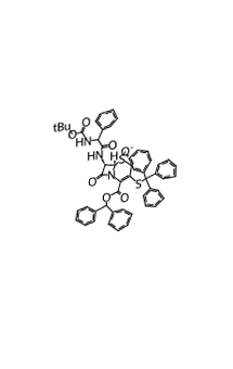 CC(C)(C)OC(=O)NC(C(=O)N[C@@H]1C(=O)N2C(C(=O)OC(c3ccccc3)c3ccccc3)=C(SC(c3ccccc3)(c3ccccc3)c3ccccc3)C[S+]([O-])[C@@H]12)c1ccccc1